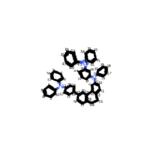 c1ccc(N(c2ccccc2)c2ccc(-c3ccc4c(c3)-c3cc(N(c5ccccc5)c5cccc(N(c6ccccc6)c6ccccc6)c5)ccc3CC4)cc2)cc1